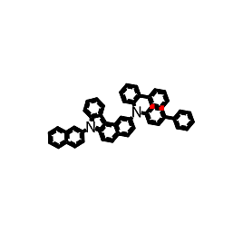 c1ccc(-c2ccc(N(c3ccc4ccc5c(c4c3)c3ccccc3n5-c3ccc4ccccc4c3)c3ccccc3-c3ccccc3)cc2)cc1